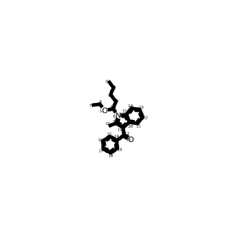 CCCCC(OCC)n1c(C)c(C(=O)c2ccccc2)c2ccccc21